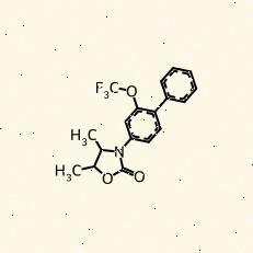 CC1OC(=O)N(c2ccc(-c3ccccc3)c(OC(F)(F)F)c2)C1C